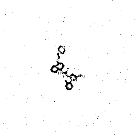 Cc1ccccc1-n1nc(C(C)(C)C)cc1NC(=O)Nc1ccc(OCCN2CCOCC2)c2ccccc12